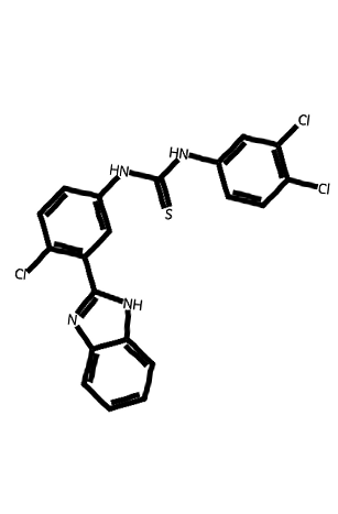 S=C(Nc1ccc(Cl)c(Cl)c1)Nc1ccc(Cl)c(-c2nc3ccccc3[nH]2)c1